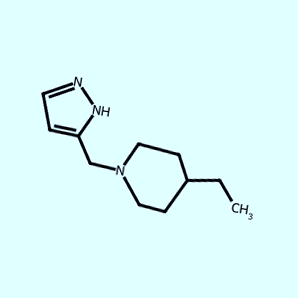 CCC1CCN(Cc2ccn[nH]2)CC1